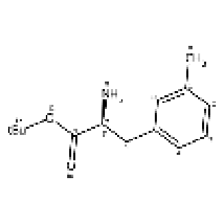 Cc1cccc(C[C@H](N)C(=O)OC(C)(C)C)c1